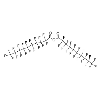 O=C(OC(=O)C(F)(F)C(F)(F)C(F)(F)C(F)(F)C(F)(F)C(F)(F)C(F)(F)C(F)(F)C(F)(F)F)C(F)(F)C(F)(F)C(F)(F)C(F)(F)C(F)(F)C(F)(F)C(F)(F)C(F)(F)C(F)(F)F